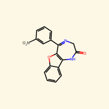 O=C1CN=C(c2cccc([N+](=O)[O-])c2)c2oc3ccccc3c2N1